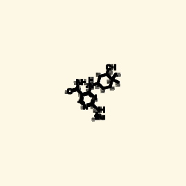 CC(C)(C)Nc1ncc(C(N)=O)c(NC2CCC(C)(C)C(O)C2)n1